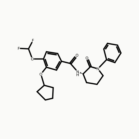 O=C(N[C@H]1CCCN(c2ccccc2)C1=O)c1ccc(OC(F)F)c(OC2CCCC2)c1